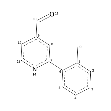 Cc1ccccc1-c1cc(C=O)ccn1